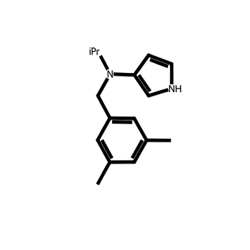 Cc1cc(C)cc(CN(c2cc[nH]c2)C(C)C)c1